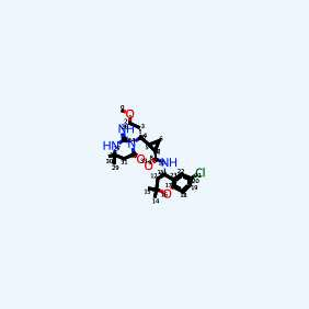 COCC[C@H](C1C[C@H]1C(=O)N[C@H]1CC(C)(C)Oc2ccc(Cl)cc21)N1C(=N)NC(C)(C)CC1=O